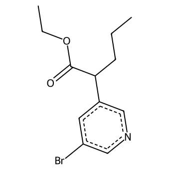 CCCC(C(=O)OCC)c1cncc(Br)c1